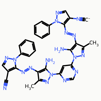 [C-]#[N+]c1cnn(-c2ccccc2)c1N=Nc1c(C)nn(-c2cc(-n3nc(C)c(N=Nc4c(C#N)cnn4-c4ccccc4)c3N)ncn2)c1N